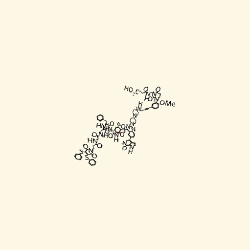 COc1ccc(C#CCNC2(C)CCN(C3CCN(c4nc([C@@](COCNC(=O)CNC(=O)[C@H](Cc5ccccc5)NC(=O)CNC(=O)CNC(=O)CCN5C(=O)C(Sc6ccccc6)=C(Sc6ccccc6)C5=O)(OC5CC5)c5ccccc5)c5cc(-c6cn(C)c(=O)c7[nH]ccc67)ccc5n4)CC3)CC2)cc1N1CCC(=O)N(CNC(=O)CCC(=O)O)C1=O